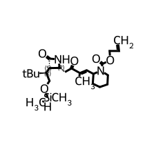 C=CCOC(=O)N1CCCCC1C=C(C)C(=O)C[C@H]1NC(=O)[C@H]1[C@@H](CO[SiH](C)C)C(C)(C)C